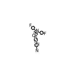 N#Cc1ccc(N2CCN(C(=O)Cn3nc(-c4ccc(F)cc4)nc3-c3ccc(F)cc3)CC2)nc1